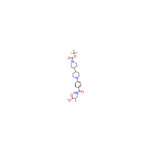 COC(=O)C(C)CNC(=O)c1ccc(N2CCC(C3CCN(C(=O)OC(C)(C)C)CC3)CC2)cc1